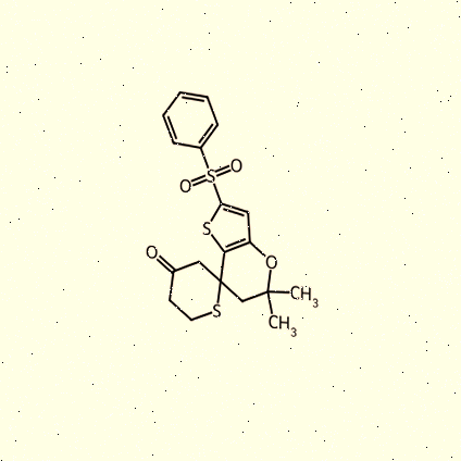 CC1(C)CC2(CC(=O)CCS2)c2sc(S(=O)(=O)c3ccccc3)cc2O1